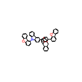 c1ccc2c(c1)C1c3cccc4c3C24c2c(-c3ccc4c(c3)c3ccccc3n4-c3cccc4oc5ccccc5c34)ccc(-c3cccc4c3oc3ccccc34)c21